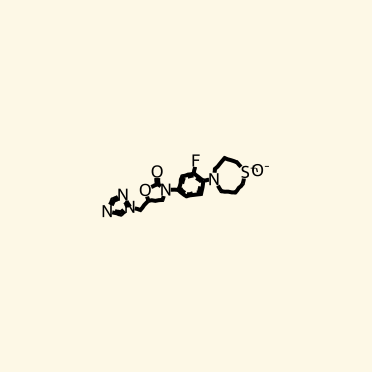 O=C1OC(Cn2cncn2)CN1c1ccc(N2CCC[S+]([O-])CCC2)c(F)c1